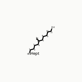 CCCCCCCCCCCC(I)CCCCCI